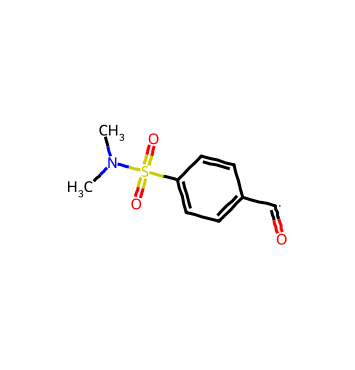 CN(C)S(=O)(=O)c1ccc([C]=O)cc1